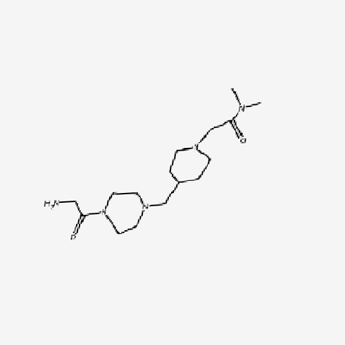 CN(C)C(=O)CN1CCC(CN2CCN(C(=O)CN)CC2)CC1